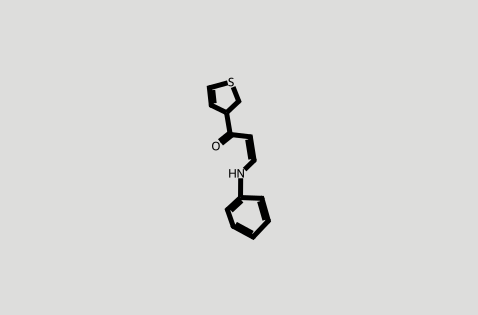 O=C(/C=C\Nc1ccccc1)C1C=CSC1